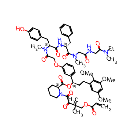 C=CC(=O)OCC(C)(C)C(=O)C(=O)N1CCCC[C@H]1C(=O)O[C@H](CCc1cc(OC)cc(OC)c1OC)c1cccc(OCC(=O)N(C)[C@@H](Cc2ccc(O)cc2)C(=O)N[C@H](Cc2ccccc2)C(=O)N(C)CC(=O)NCC(=O)N(C)CC)c1